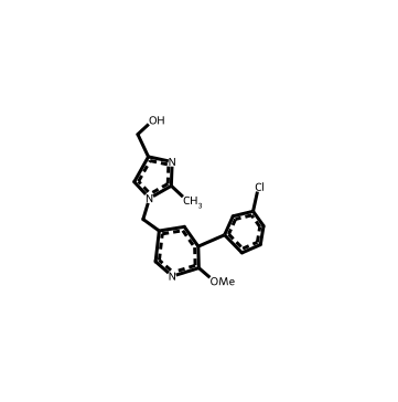 COc1ncc(Cn2cc(CO)nc2C)cc1-c1cccc(Cl)c1